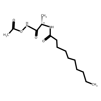 CCCCCCCCCC(=O)N[C@@H](C)C(=O)NOC(C)=O